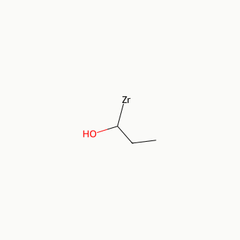 CC[CH](O)[Zr]